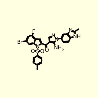 Cc1ccc(S(=O)(=O)n2c(C(=O)c3cnn(-c4ccc5[nH]c(C)nc5c4)c3N)cc3c(F)cc(Br)cc32)cc1